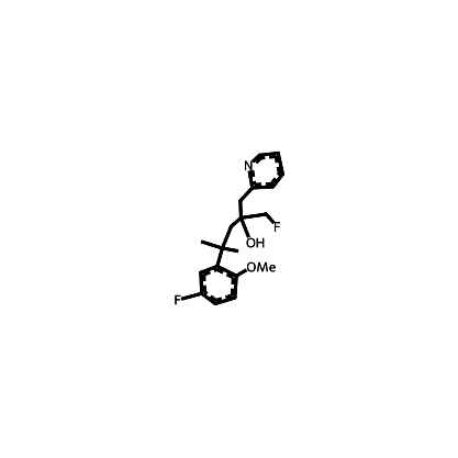 COc1ccc(F)cc1C(C)(C)CC(O)(CF)Cc1ccccn1